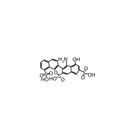 Nc1c(-c2ccc3cccc(S(=O)(=O)O)c3c2)c(S(=O)(=O)O)cc2cc(S(=O)(=O)O)cc(O)c12